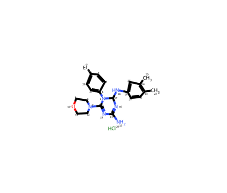 CCc1ccc(N2C(N3CCOCC3)=NC(N)=NC2Nc2ccc(C)c(C)c2)cc1.Cl